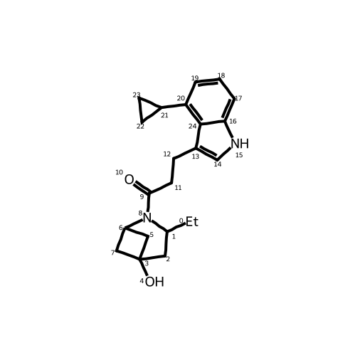 CCC1CC2(O)CC(C2)N1C(=O)CCc1c[nH]c2cccc(C3CC3)c12